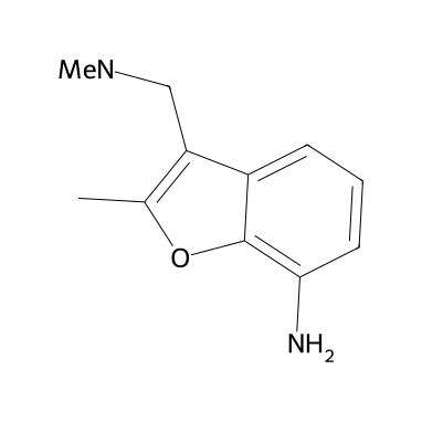 CNCc1c(C)oc2c(N)cccc12